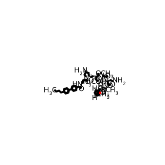 CCCCc1ccc(-c2ccc(C(=O)NCCC(=O)N3C[C@@H](N)C[C@H]3C(=O)C[C@H](C(=O)N[C@@H](C)C(=O)N[C@@H](CC(N)=O)C(=O)N[C@@H](C)B3OC4C[C@@H]5C[C@H](C4O3)C5(C)C)C(C)O)cc2)cc1